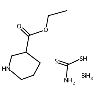 CCOC(=O)C1CCCNC1.NC(=S)S.[BiH3]